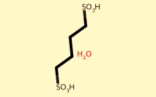 O.O=S(=O)(O)CCCCS(=O)(=O)O